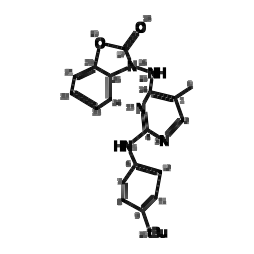 Cc1cnc(Nc2ccc(C(C)(C)C)cc2)nc1Nn1c(=O)oc2ccccc21